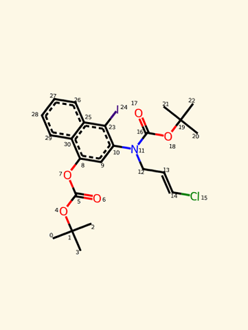 CC(C)(C)OC(=O)Oc1cc(N(CC=CCl)C(=O)OC(C)(C)C)c(I)c2ccccc12